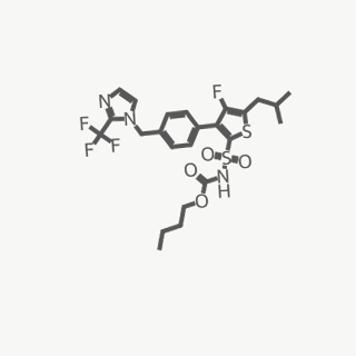 CCCCOC(=O)NS(=O)(=O)c1sc(CC(C)C)c(F)c1-c1ccc(Cn2ccnc2C(F)(F)F)cc1